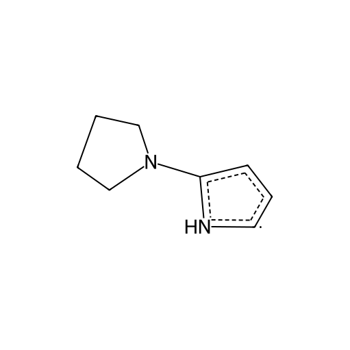 [c]1ccc(N2CCCC2)[nH]1